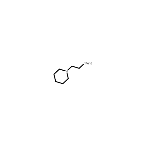 CCCCCCCN1CCCCC1